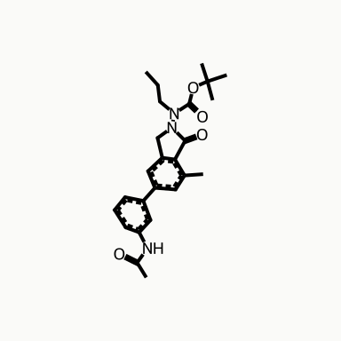 CCCN(C(=O)OC(C)(C)C)N1Cc2cc(-c3cccc(NC(C)=O)c3)cc(C)c2C1=O